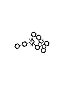 c1ccc(-c2ccc(-c3nc(-c4ccccc4)cc(-c4cccc5c4-c4c(sc6ccccc46)C54c5ccccc5-c5ccccc54)n3)cc2)cc1